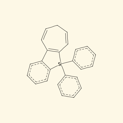 C1=CC2=C(C=CC1)[Si](c1ccccc1)(c1ccccc1)c1ccccc12